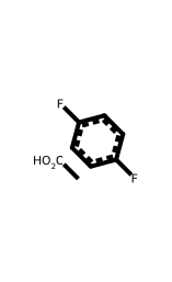 CC(=O)O.Fc1ccc(F)cc1